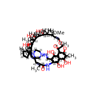 CO[C@H]1/C=C/O[C@@]2(C)Oc3c(C)c(O)c4c(O)c(c(/C=N/N5CCN(C6CCCC6)CC5)c(O)c4c3C2=O)NC(=O)/C(C)=C\C=C\C(C)(C)[C@H](C)[C@H](O)[C@@H](C)[C@@H](O)[C@@H](C)[C@H](O)[C@@H]1C